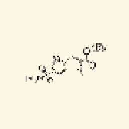 CC(C)(C)OC(=O)NCc1ccc(S(N)(=O)=O)cn1